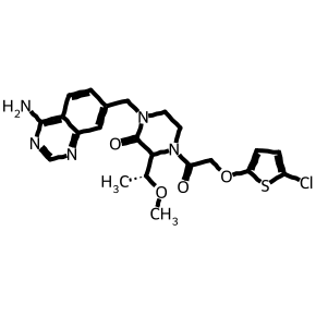 CO[C@H](C)C1C(=O)N(Cc2ccc3c(N)ncnc3c2)CCN1C(=O)COc1ccc(Cl)s1